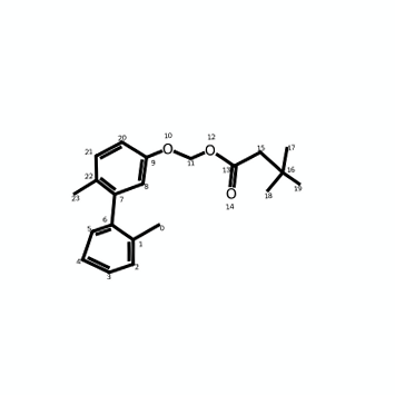 Cc1ccccc1-c1cc(OCOC(=O)CC(C)(C)C)ccc1C